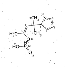 C/C(=C/C(C)(C)c1cccs1)O[PH](=O)O